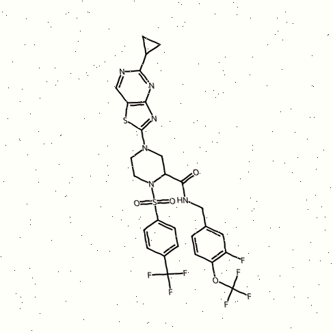 O=C(NCc1ccc(OC(F)(F)F)c(F)c1)C1CN(c2nc3nc(C4CC4)ncc3s2)CCN1S(=O)(=O)c1ccc(C(F)(F)F)cc1